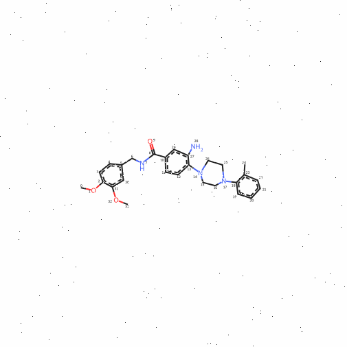 COc1ccc(CNC(=O)c2ccc(N3CCN(c4ccccc4C)CC3)c(N)c2)cc1OC